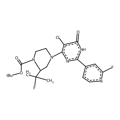 CC(C)(C)OC(=O)N1CCN(c2nc(-c3ccnc(F)c3)[nH]c(=O)c2Cl)CC1C(C)(C)F